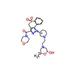 C[C@H]1CN(CCN2CCC[C@H](n3nc(C(=O)N4CCOCC4)c4c3-c3ccccc3S(=O)(=O)C4)C2)CC(O)O1